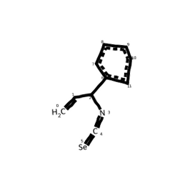 C=CC(N=C=[Se])c1ccccc1